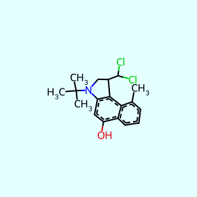 Cc1cccc2c(O)cc3c(c12)C(C(Cl)Cl)CN3C(C)(C)C